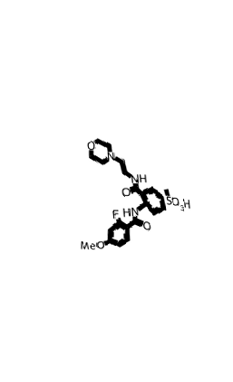 COc1ccc(C(=O)Nc2ccccc2C(=O)NCCN2CCOCC2)c(F)c1.CS(=O)(=O)O